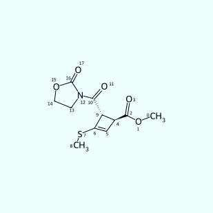 COC(=O)[C@H]1C=C(SC)[C@@H]1C(=O)N1CCOC1=O